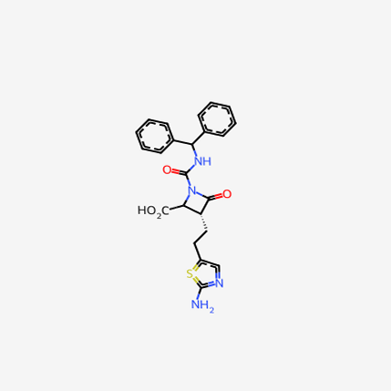 Nc1ncc(CC[C@H]2C(=O)N(C(=O)NC(c3ccccc3)c3ccccc3)C2C(=O)O)s1